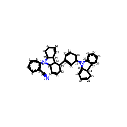 N#Cc1ccccc1N1C2C=CCC(C3=CC(N4C5=CC=CCC5c5ccccc54)CC=C3)C2C2C=CCCC21